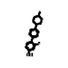 CC1CCC(c2ccc(-c3ccc(O)cc3F)cc2)CC1